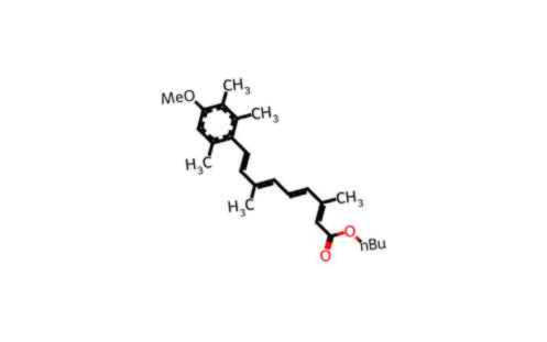 CCCCOC(=O)C=C(C)C=CC=C(C)C=Cc1c(C)cc(OC)c(C)c1C